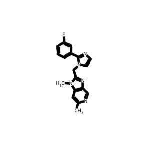 Cc1cc2c(cn1)nc(Cn1ccnc1-c1cccc(F)c1)n2C